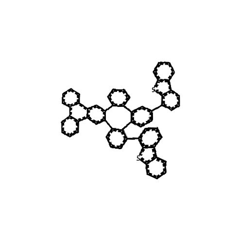 c1ccc2c(c1)-c1cc3c4ccccc4c4ccccc4c3cc1-c1cccc(-c3cccc4c3sc3ccccc34)c1-c1ccc(-c3cccc4c3sc3ccccc34)cc1-2